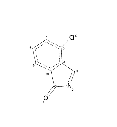 O=C1N=Cc2c(Cl)cccc21